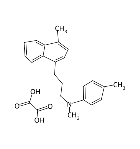 Cc1ccc(N(C)CCCc2ccc(C)c3ccccc23)cc1.O=C(O)C(=O)O